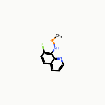 CPNc1c(F)ccc2cccnc12